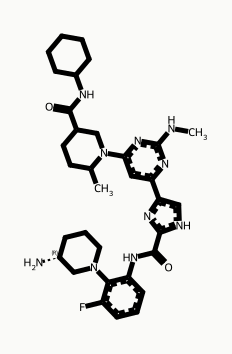 CNc1nc(-c2c[nH]c(C(=O)Nc3cccc(F)c3N3CCC[C@@H](N)C3)n2)cc(N2CC(C(=O)NC3CCCCC3)CCC2C)n1